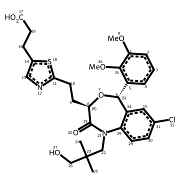 COc1cccc([C@H]2O[C@H](CCc3ncc(CCC(=O)O)s3)C(=O)N(CC(C)(C)CO)c3ccc(Cl)cc32)c1OC